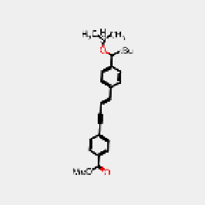 COC(=O)c1ccc(C#CC=Cc2ccc(C(O[SiH](C)C)C(C)(C)C)cc2)cc1